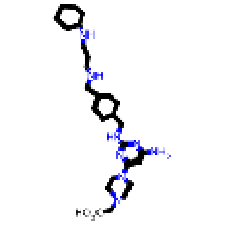 Nc1cc(N2CCN(CC(=O)O)CC2)nc(NCC2CCC(CNCCCNC3CCCCC3)CC2)n1